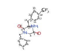 O=C1CN(Cc2ccccc2)C(=O)[C@@H](Cc2ccc(C(F)(F)F)cc2)N1